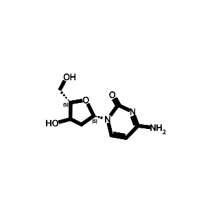 Nc1ccn([C@@H]2CC(O)[C@H](CO)O2)c(=O)n1